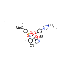 CCOc1ncccc1C1(OC(=O)c2ccc(N3CCN(C)CC3)cc2)C(=O)N(S(=O)(=O)c2ccc(OC)cc2)c2ccc(C#N)cc21